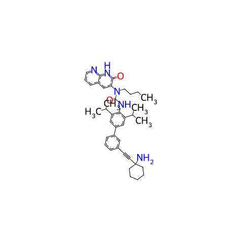 CCCCN(C(=O)Nc1c(C(C)C)cc(-c2cccc(C#CC3(N)CCCCC3)c2)cc1C(C)C)c1cc2cccnc2[nH]c1=O